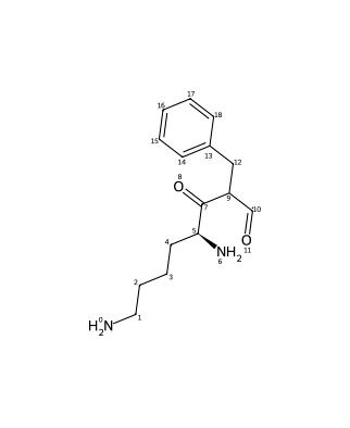 NCCCC[C@H](N)C(=O)C([C]=O)Cc1ccccc1